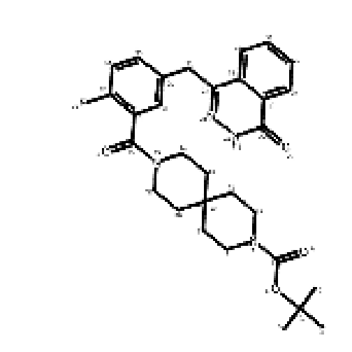 CC(C)(C)OC(=O)N1CCC2(CC1)CCN(C(=O)c1cc(Cc3n[nH]c(=O)c4ccccc34)ccc1F)CC2